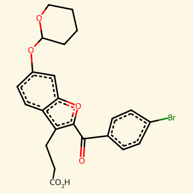 O=C(O)CCc1c(C(=O)c2ccc(Br)cc2)oc2cc(OC3CCCCO3)ccc12